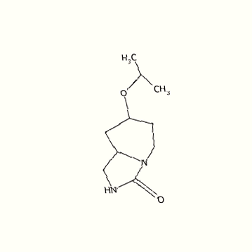 CC(C)OC1CCN2C(=O)NCC2C1